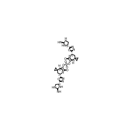 N=C1NC[C@H](c2nnc([C@@H]3CC4(CC4)[C@@H]4CN3C(=O)N4OS(=O)(=O)ON3C(=O)N4C[C@H]3C3(CC3)C[C@H]4c3nnc([C@H]4CNC(=N)N4)o3)o2)N1